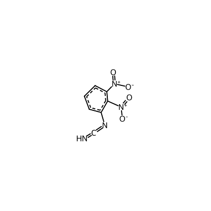 N=C=Nc1cccc([N+](=O)[O-])c1[N+](=O)[O-]